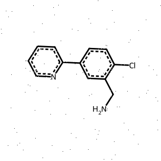 NCc1cc(-c2cc[c]cn2)ccc1Cl